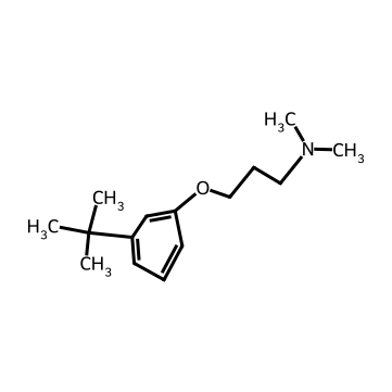 CN(C)CCCOc1cccc(C(C)(C)C)c1